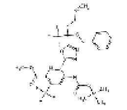 C=CCCC(OCc1ccccc1)(c1nnc(-c2nc(C(=O)OC)c(C(F)(F)F)cc2NC(=O)OC(C)(C)C)o1)C(F)(F)F